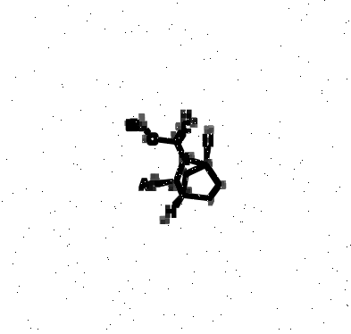 C=C(OC(C)(C)C)N1[C@@H]2CC[C@@H](C2)[C@H]1C(C)=O